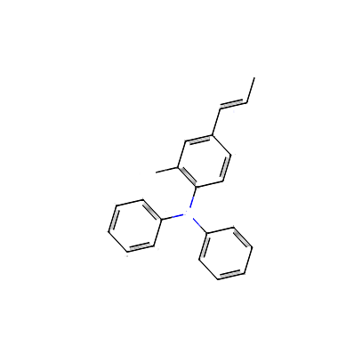 C/C=C/c1ccc(N(c2ccccc2)c2ccccc2)c(C=O)c1